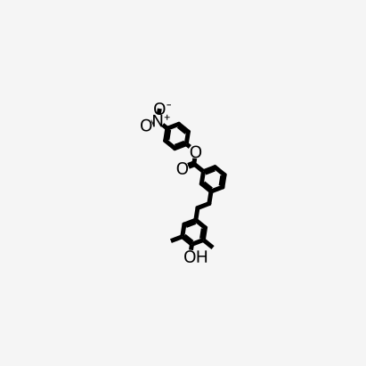 Cc1cc(CCc2cccc(C(=O)Oc3ccc([N+](=O)[O-])cc3)c2)cc(C)c1O